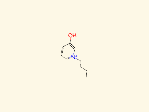 CCCC[n+]1cccc(O)c1